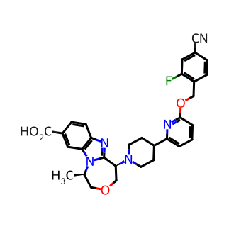 C[C@@H]1COC[C@H](N2CCC(c3cccc(OCc4ccc(C#N)cc4F)n3)CC2)c2nc3ccc(C(=O)O)cc3n21